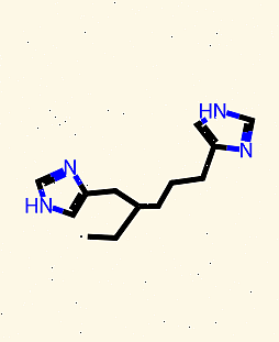 [CH2]CC(CCCc1c[nH]cn1)Cc1c[nH]cn1